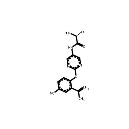 C=C(C)c1cc(C#N)ccc1Oc1ncc(NC(=O)[C@H](N)CC)cn1